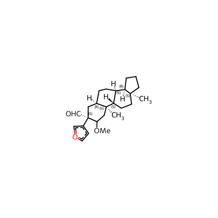 COC1C[C@@]2(C)[C@H](CC[C@H]3[C@H]4CCC[C@@]4(C)CC[C@@H]32)C[C@]1(C=O)c1ccoc1